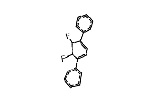 FC1C(c2ccccc2)=CC=C(c2ccccc2)C1F